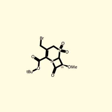 CO[C@H]1C(=O)N2C(C(=O)OC(C)(C)C)=C(CBr)CS(=O)(=O)C12